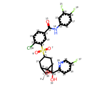 C[C@H]1CC2CC(S(=O)(=O)c3cc(C(=O)Nc4ccc(F)c(F)c4)ccc3Cl)CC1[C@@]2(O)[C@H](O)c1ccc(F)cn1